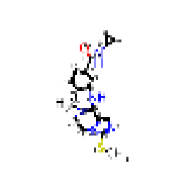 CSc1ncc2c(Nc3cc(C(=O)NC4CC4)ccc3C)nccn12